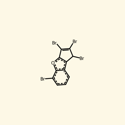 BrC1=C(Br)C(Br)c2c1oc1c(Br)cccc21